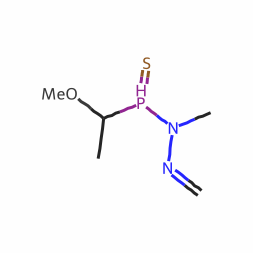 C=NN(C)[PH](=S)C(C)OC